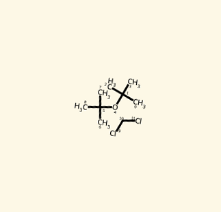 CC(C)(C)OC(C)(C)C.ClCCl